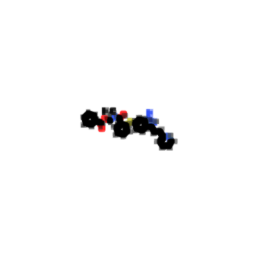 CN(COC(=O)c1ccccc1)C(=O)c1ccccc1Sc1ccc2c(/C=C/c3ccccn3)n[nH]c2c1